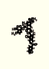 CC(OC(=O)C1CSC(C)N1C(=O)O)OC(=O)[C@H](Cc1cccc(S(C)(=O)=O)c1)NC(=O)c1c(Cl)cc2c(c1Cl)CCN(C(=O)c1ccc3ccoc3c1)C2